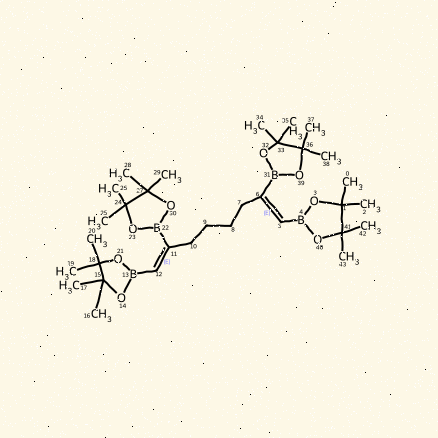 CC1(C)OB(/C=C(/CCCC/C(=C/B2OC(C)(C)C(C)(C)O2)B2OC(C)(C)C(C)(C)O2)B2OC(C)(C)C(C)(C)O2)OC1(C)C